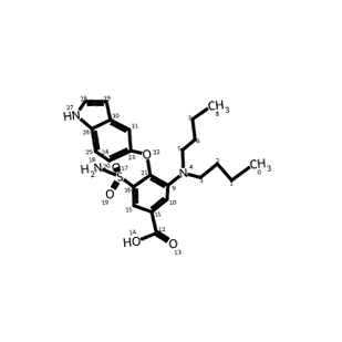 CCCCN(CCCC)c1cc(C(=O)O)cc(S(N)(=O)=O)c1Oc1ccc2[nH]ccc2c1